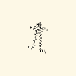 CCCCCCCCCCCCCCC(C)n1ccnc1C(C)CCCCCCCCCCCC